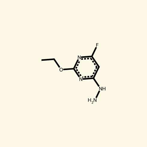 CCOc1nc(F)cc(NN)n1